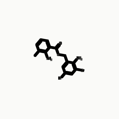 Cc1cccc(C(=O)OCc2cc(Br)cc(Br)c2N)c1N